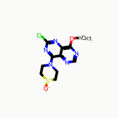 CCCCCCCCOc1ncnc2c(N3CC[S+]([O-])CC3)nc(Cl)nc12